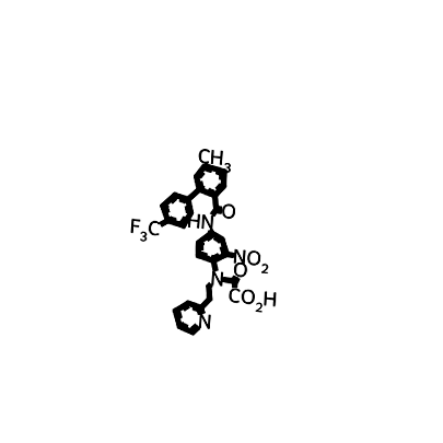 Cc1ccc(C(=O)Nc2ccc(N(CCc3ccccn3)C(=O)C(=O)O)c([N+](=O)[O-])c2)c(-c2ccc(C(F)(F)F)cc2)c1